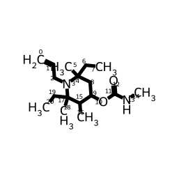 C=CCN1C(C)(CC)CC(OC(=O)NC)C(C)C1(C)CC